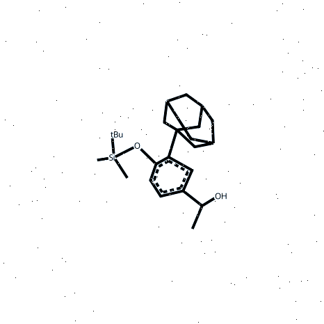 CC(O)c1ccc(O[Si](C)(C)C(C)(C)C)c(C23CC4CC(CC(C4)C2)C3)c1